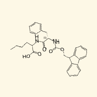 CCCCC(NC(=O)[C@H](Cc1ccccc1)NC(=O)OCC1c2ccccc2-c2ccccc21)C(=O)O